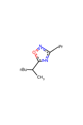 CCCCC(C)c1nc(C(C)C)no1